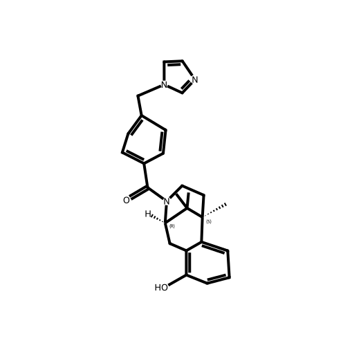 CC1(C)[C@H]2Cc3c(O)cccc3[C@]1(C)CCN2C(=O)c1ccc(Cn2ccnc2)cc1